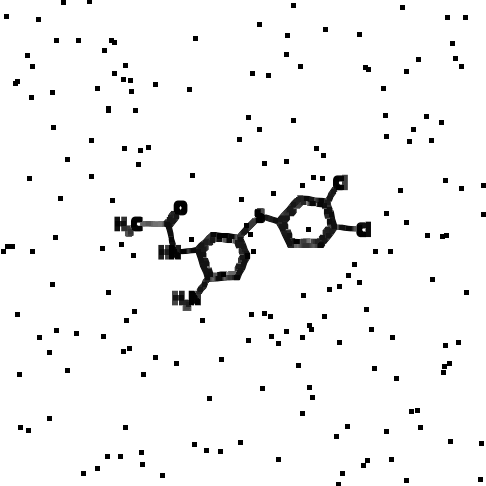 CC(=O)Nc1cc(Sc2ccc(Cl)c(Cl)c2)ccc1N